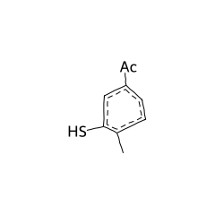 CC(=O)c1ccc(C)c(S)c1